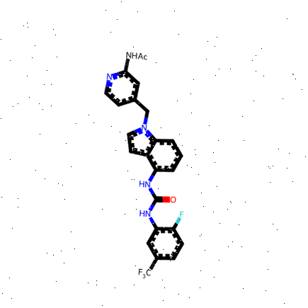 CC(=O)Nc1cc(Cn2ccc3c(NC(=O)Nc4cc(C(F)(F)F)ccc4F)cccc32)ccn1